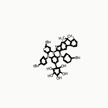 CC(C)(C)C1=CC=C(N2c3cc(-c4c(O)c(O)c(O)c(O)c4O)cc4c3B(c3cc(C(C)(C)C)ccc3N4c3ccc(C(C)(C)C)cc3)c3sc4cc5c(cc4c32)-c2ccccc2C5(C)C)C=CC1